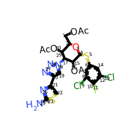 CC(=O)OCC1OC(Sc2cc(Cl)c(F)c(Cl)c2)C(OC(C)=O)C(n2cc(-c3csc(N)n3)nn2)C1OC(C)=O